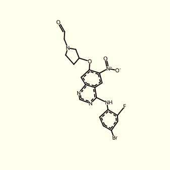 O=CCN1CCC(Oc2cc3ncnc(Nc4ccc(Br)cc4F)c3cc2[N+](=O)[O-])C1